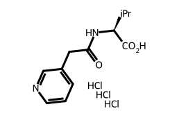 CC(C)[C@H](NC(=O)Cc1cccnc1)C(=O)O.Cl.Cl.Cl